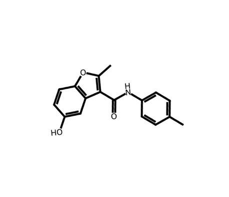 Cc1ccc(NC(=O)c2c(C)oc3ccc(O)cc23)cc1